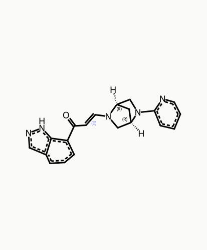 O=C(/C=C/N1C[C@H]2C[C@@H]1CN2c1ccccn1)c1cccc2cn[nH]c12